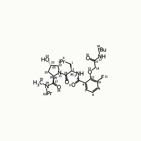 CC(C)C[C@@H](NC(=O)c1cccc(F)c1OCC(=O)NC(C)(C)C)C(=O)N1C[C@@H](O)C[C@@H]1C(=O)N(C)C(C)C